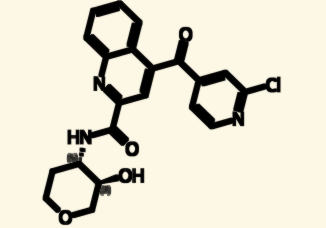 O=C(N[C@H]1CCOC[C@@H]1O)c1cc(C(=O)c2ccnc(Cl)c2)c2ccccc2n1